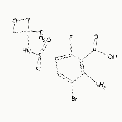 Cc1c(Br)cc(S(=O)(=O)NC2(C)COC2)c(F)c1C(=O)O